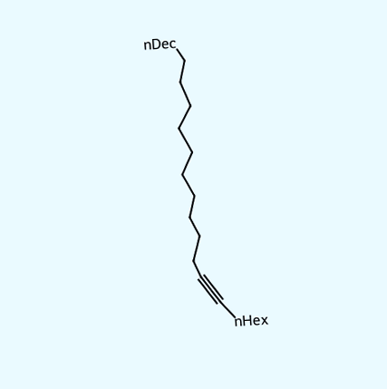 [CH2]CCCCCC#CCCCCCCCCCCCCCCCCCCC[CH2]